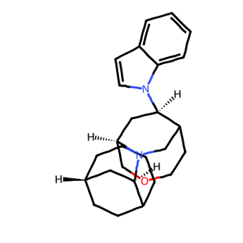 c1ccc2c(c1)ccn2[C@@H]1C[C@@H]2COCCC1CN2[C@@H]1C[C@H]2CCCCC1CC2